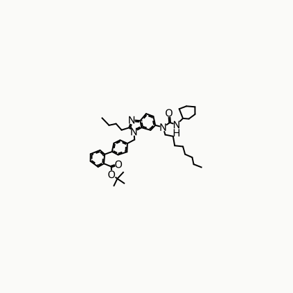 CCCCCCCCN(C(=O)NC1CCCCC1)c1ccc2nc(CCCC)n(Cc3ccc(-c4ccccc4C(=O)OC(C)(C)C)cc3)c2c1